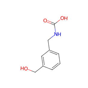 O=C(O)NCc1cccc(CO)c1